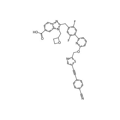 N#Cc1ccc(C#Cc2cnc(COc3cccc(-c4cc(F)c(Cc5nc6ccc(C(=O)O)cc6n5CC5CCO5)cc4F)n3)s2)cc1